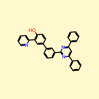 Oc1ccc(-c2cccc(-c3nc(-c4ccccc4)cc(-c4ccccc4)n3)c2)cc1-c1ccccn1